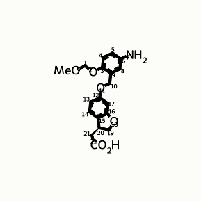 COCOc1ccc(N)cc1COc1ccc2c(c1)OC[C@H]2CC(=O)O